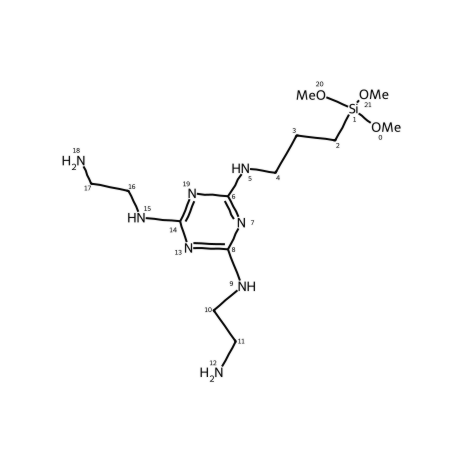 CO[Si](CCCNc1nc(NCCN)nc(NCCN)n1)(OC)OC